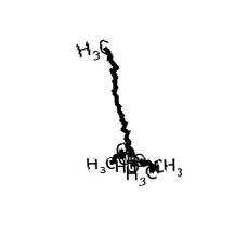 CCCCCCCCCCCCCCCCCCCCC(COP(O)OCCN(C)C)OC(=O)CCC